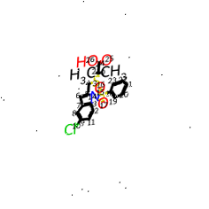 CC(C)(SCc1cc2cc(Cl)ccc2n1S(=O)(=O)c1ccccc1)C(=O)O